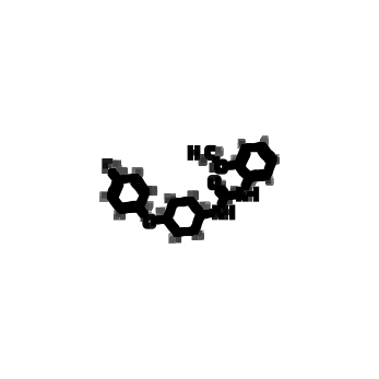 COc1ccccc1NC(=O)NC1CCC(Oc2ccc(F)cc2)CC1